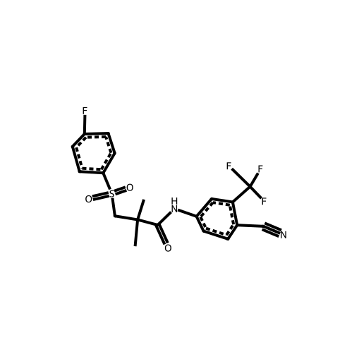 CC(C)(CS(=O)(=O)c1ccc(F)cc1)C(=O)Nc1ccc(C#N)c(C(F)(F)F)c1